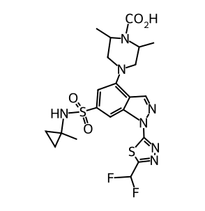 CC1CN(c2cc(S(=O)(=O)NC3(C)CC3)cc3c2cnn3-c2nnc(C(F)F)s2)CC(C)N1C(=O)O